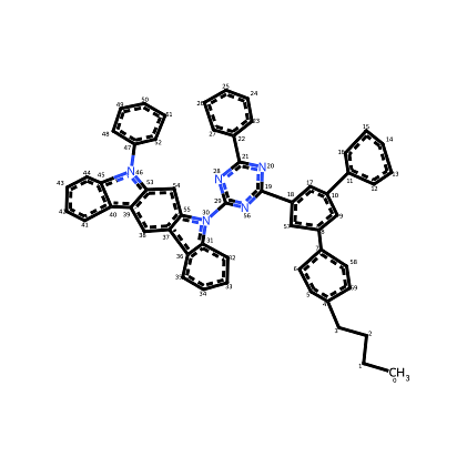 CCCCc1ccc(-c2cc(-c3ccccc3)cc(-c3nc(-c4ccccc4)nc(-n4c5ccccc5c5cc6c7ccccc7n(-c7ccccc7)c6cc54)n3)c2)cc1